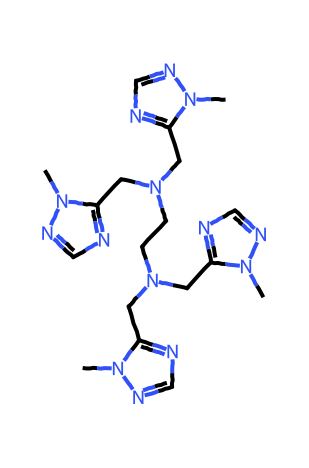 Cn1ncnc1CN(CCN(Cc1ncnn1C)Cc1ncnn1C)Cc1ncnn1C